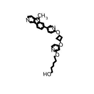 Cn1c2ccncc2c2ccc(-c3ccc(O[C@H]4C[C@H](Oc5ccnc(OCCCCCCO)c5)C4)nc3)cc21